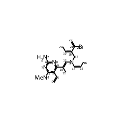 C=Cc1c(NC)nc(N)nc1/C(C)=C/N(/C=C\C)C/C(=C/C)C(=C)Br